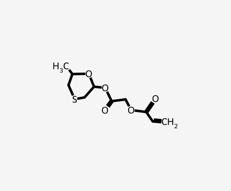 C=CC(=O)OCC(=O)OC1CSCC(C)O1